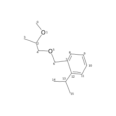 COC(C)COCc1ccccc1C(C)C